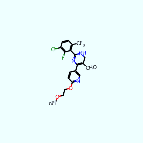 CCCOCCOc1ccc(C2=C(C=O)CNC(c3c(C(F)(F)F)ccc(Cl)c3F)=N2)cn1